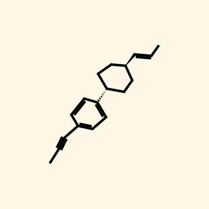 CC#Cc1ccc([C@H]2CC[C@H](/C=C/C)CC2)cc1